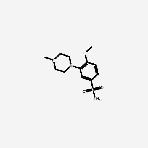 COc1ccc(S(N)(=O)=O)cc1N1CCN(C)CC1